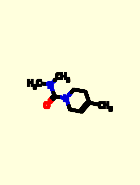 CC1=CCN(C(=O)N(C)C)CC1